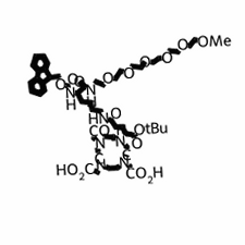 COCCOCCOCCOCCOCCOCCNC(=O)C(CCCCNC(=O)CCC(C(=O)OC(C)(C)C)N1CCN(CC(=O)O)CCN(CC(=O)O)CCN(CC(=O)O)CC1)NC(=O)OCC1c2ccccc2-c2ccccc21